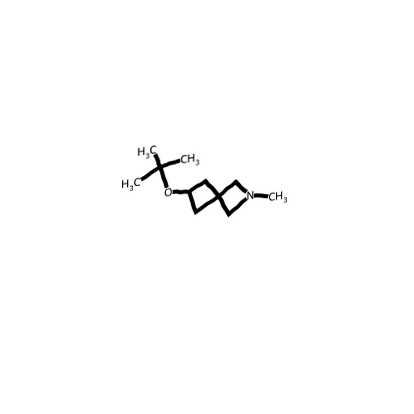 CN1CC2(CC(OC(C)(C)C)C2)C1